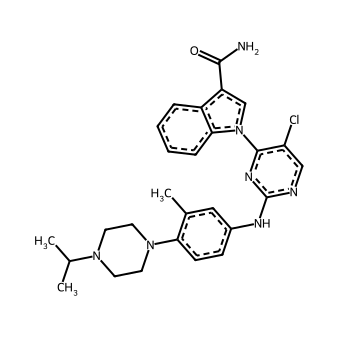 Cc1cc(Nc2ncc(Cl)c(-n3cc(C(N)=O)c4ccccc43)n2)ccc1N1CCN(C(C)C)CC1